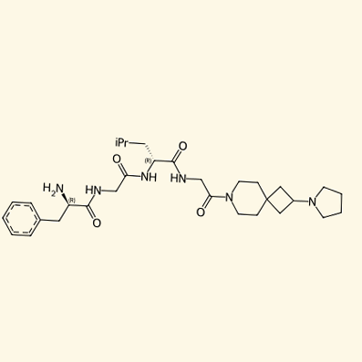 CC(C)C[C@@H](NC(=O)CNC(=O)[C@H](N)Cc1ccccc1)C(=O)NCC(=O)N1CCC2(CC1)CC(N1CCCC1)C2